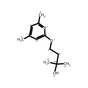 Cc1cc(C)nc(OCCC(C)(C)O)c1